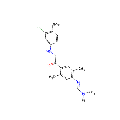 CCN(C)C=Nc1cc(C)c(C(=O)CNc2ccc(OC)c(Cl)c2)cc1C